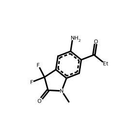 CCC(=O)c1cc2c(cc1N)C(F)(F)C(=O)N2C